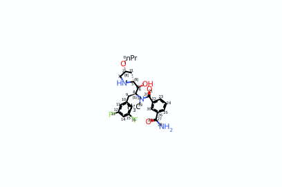 CCCO[C@H]1CN[C@@H]([C@@H](O)[C@H](Cc2cc(F)cc(F)c2)N(C)C(=O)c2cccc(C(N)=O)c2)C1